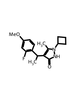 COc1ccc(C(C)c2c(C)n(C3CCC3)[nH]c2=O)c(F)c1